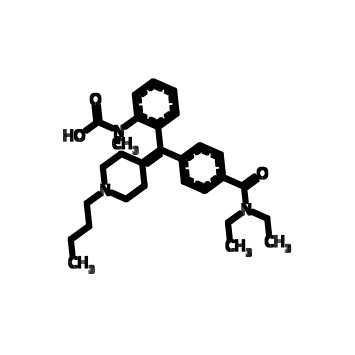 CCCCN1CCC(=C(c2ccc(C(=O)N(CC)CC)cc2)c2ccccc2N(C)C(=O)O)CC1